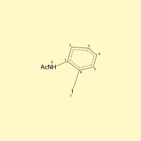 CC(=O)Nc1c[c]ccc1I